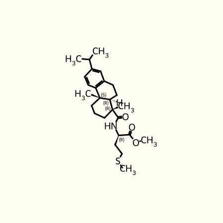 COC(=O)[C@@H](CCSC)NC(=O)[C@]1(C)CCC[C@]2(C)c3ccc(C(C)C)cc3CC[C@@H]12